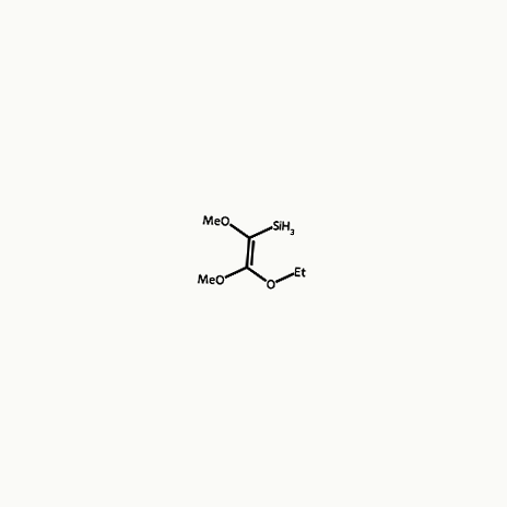 CCOC(OC)=C([SiH3])OC